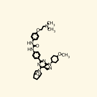 COC1CCC(n2ncc3c(N4CC5CCC(C4)O5)nc(-c4ccc(NC(=O)Nc5ccc(OCCN(C)C)cc5)cc4)nc32)CC1